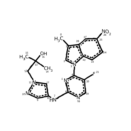 Cc1cn(-c2nc(Nc3cnn(CC(C)(C)O)c3)ncc2F)c2ccc([N+](=O)[O-])cc12